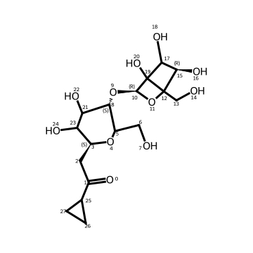 O=C(C[C@@H]1OC(CO)[C@@H](O[C@@H]2OC3(CO)[C@H](O)C(O)C23O)C(O)C1O)C1CC1